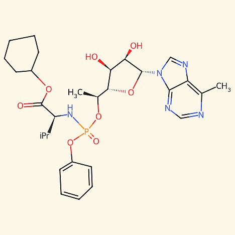 Cc1ncnc2c1ncn2[C@@H]1O[C@H]([C@H](C)OP(=O)(N[C@H](C(=O)OC2CCCCC2)C(C)C)Oc2ccccc2)[C@@H](O)[C@H]1O